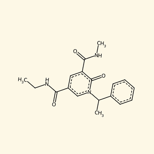 CCNC(=O)c1cc(C(=O)NC)c(=O)n(C(C)c2ccccc2)c1